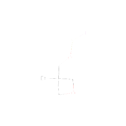 CCC1(COSI)COC1